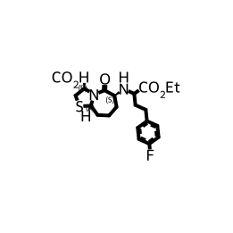 CCOC(=O)C(CCc1ccc(F)cc1)N[C@H]1CCC[C@H]2SC[C@@H](C(=O)O)N2C1=O